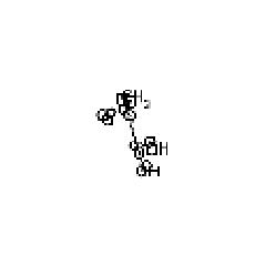 CS(=O)(=O)c1cc(OCCCCCCc2cccc(OCCCC(=O)O)c2CCC(=O)O)cc(-c2ccc3c(c2)OCO3)c1